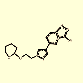 Sc1nnc2ccc(-c3cnn(CCOC4CCCCO4)c3)cn12